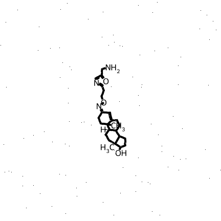 CC12CC[C@@H]3C(CCC4=CC(=NOCCc5ncc(CN)o5)CCC43C)C1CCC2O